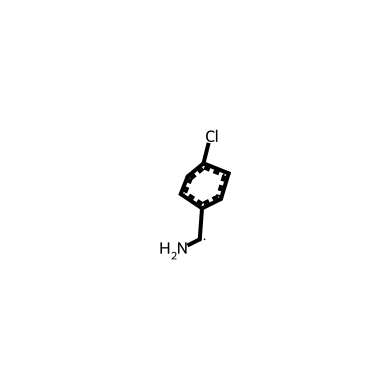 N[CH]c1ccc(Cl)cc1